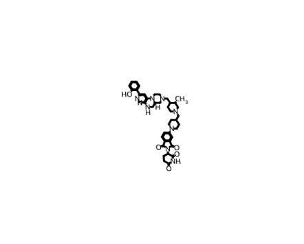 CC1CN(CC2CCN(c3ccc4c(c3)C(=O)N(C3CCC(=O)NC3=O)C4=O)CC2)CCC1CN1CCN2c3cc(-c4ccccc4O)nnc3NC[C@H]2C1